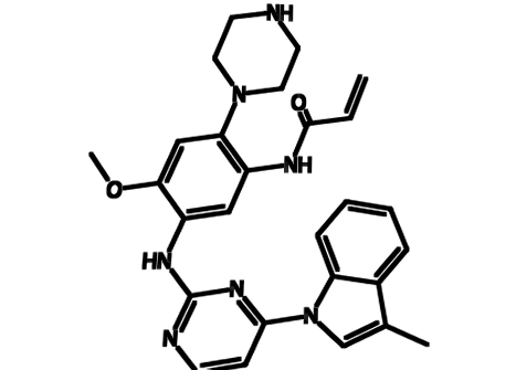 C=CC(=O)Nc1cc(Nc2nccc(-n3cc(C)c4ccccc43)n2)c(OC)cc1N1CCNCC1